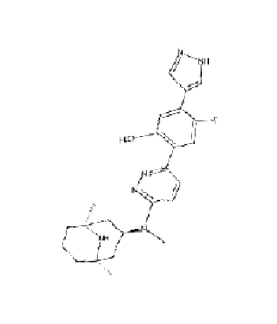 CN(c1ccc(-c2cc(F)c(-c3cn[nH]c3)cc2O)nn1)[C@@H]1C[C@]2(C)CCC[C@](C)(C1)N2